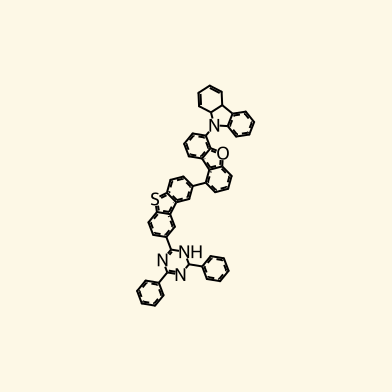 C1=CC2c3ccccc3N(c3cccc4c3oc3cccc(-c5ccc6sc7ccc(C8=NC(c9ccccc9)=NC(c9ccccc9)N8)cc7c6c5)c34)C2C=C1